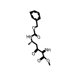 COC(=O)C(=N)C(=O)C[C@@H](C)NC(=O)OCc1ccccc1